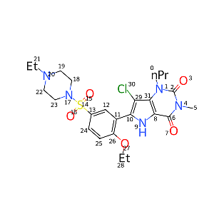 CCCn1c(=O)n(C)c(=O)c2[nH]c(-c3cc(S(=O)(=O)N4CCN(CC)CC4)ccc3OCC)c(Cl)c21